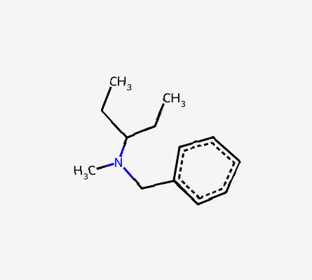 CCC(CC)N(C)Cc1ccccc1